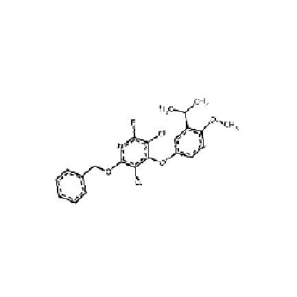 COc1ccc(Oc2c(Cl)c(F)nc(OCc3ccccc3)c2Cl)cc1C(C)C